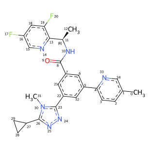 Cc1ccc(-c2cc(C(=O)N[C@H](C)c3ncc(F)cc3F)cc(-c3nnc(C4CC4)n3C)c2)nc1